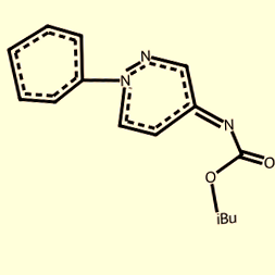 CCC(C)OC(=O)N=c1ccn(-c2ccccc2)nc1